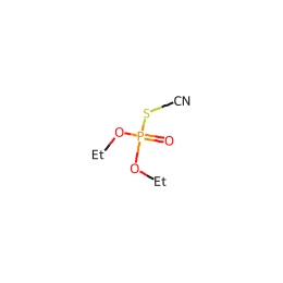 CCOP(=O)(OCC)SC#N